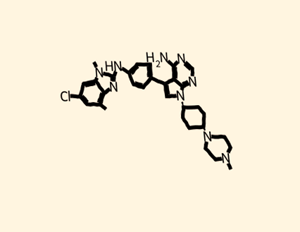 Cc1cc(Cl)cc2c1nc(Nc1ccc(-c3cn([C@H]4CC[C@@H](N5CCN(C)CC5)CC4)c4ncnc(N)c34)cc1)n2C